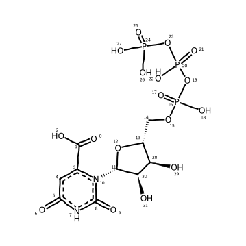 O=C(O)c1cc(=O)[nH]c(=O)n1[C@@H]1O[C@H](COP(=O)(O)OP(=O)(O)OP(=O)(O)O)[C@@H](O)[C@H]1O